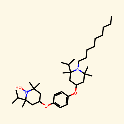 CCCCCCCCCN1C(C)(C)CC(Oc2ccc(OC3CC(C)(C)N(O)C(C)(C(C)C)C3)cc2)CC1(C)C(C)C